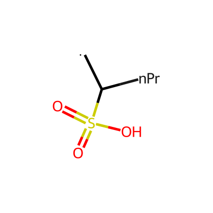 [CH2]C(CCC)S(=O)(=O)O